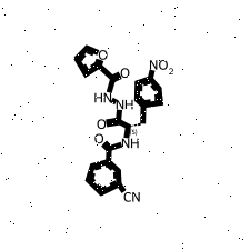 N#Cc1cccc(C(=O)N[C@@H](Cc2ccc([N+](=O)[O-])cc2)C(=O)NNC(=O)c2ccco2)c1